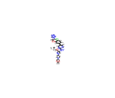 C[C@@H](Cn1cnnn1)Oc1cc(-c2cnc(Nc3cn(C4CCN(C5COC(C)(C)OC5)CC4)nc3OCC(F)(F)F)nc2)ccc1Cl